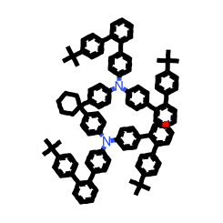 CC(C)(C)c1ccc(-c2ccccc2-c2ccc(N(c3ccc(-c4ccccc4-c4ccc(C(C)(C)C)cc4)cc3)c3ccc(C4(c5ccc(N(c6ccc(-c7ccccc7-c7ccc(C(C)(C)C)cc7)cc6)c6ccc(-c7ccccc7-c7ccc(C(C)(C)C)cc7)cc6)cc5)CCCCC4)cc3)cc2)cc1